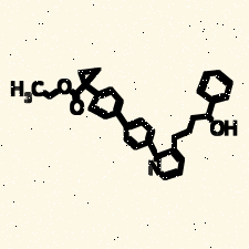 CCOC(=O)C1(c2ccc(-c3ccc(-c4ncccc4CCCC(O)c4ccccc4)cc3)cc2)CC1